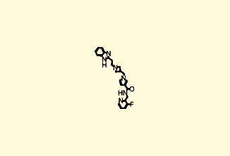 O=C(NCc1ncccc1F)c1ccn(CC2CN(CCc3nc4ccccc4[nH]3)C2)c1